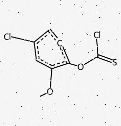 COc1cc(Cl)ccc1OC(=S)Cl